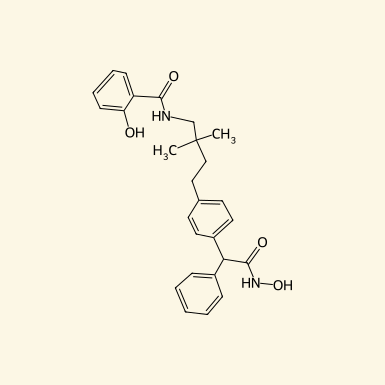 CC(C)(CCc1ccc(C(C(=O)NO)c2ccccc2)cc1)CNC(=O)c1ccccc1O